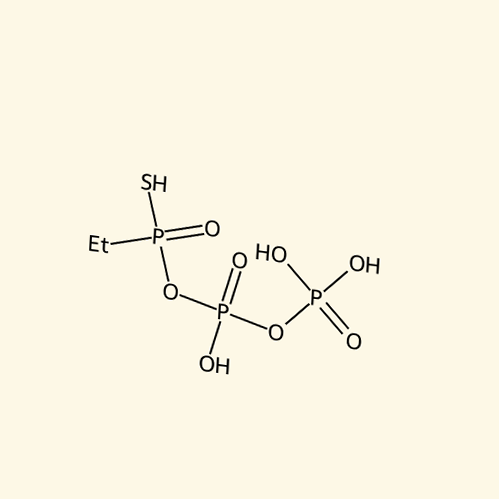 CCP(=O)(S)OP(=O)(O)OP(=O)(O)O